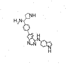 NC(c1ccc(-c2cc3ncnc(Nc4ccc5[nH]ccc5c4)c3s2)cc1)C1CCNC1